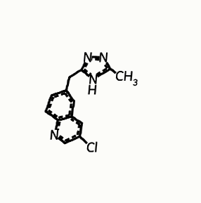 Cc1nnc(Cc2ccc3ncc(Cl)cc3c2)[nH]1